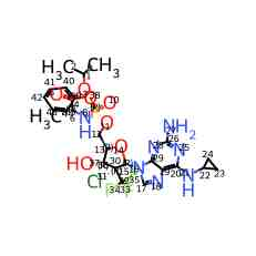 CC(C)OC(=O)[C@@H](C)N[P@@](=O)(OC[C@H]1O[C@@H](n2cnc3c(NC4CC4)nc(N)nc32)[C@@](Cl)(C(F)(F)F)[C@@H]1O)Oc1ccccc1